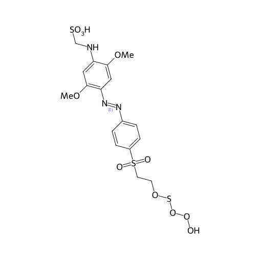 COc1cc(NCS(=O)(=O)O)c(OC)cc1/N=N/c1ccc(S(=O)(=O)CCOSOOO)cc1